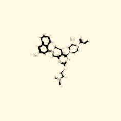 C=CC(=O)N1CCN(c2nc(OCCN(C)C)nc3c2CCN(c2cc(O)cc4ccccc24)C3)C[C@@H]1CC